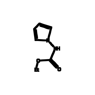 CCOC(=O)Nn1cccc1